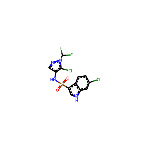 O=S(=O)(Nc1cnn(C(F)F)c1Cl)c1c[nH]c2cc(Cl)ccc12